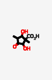 CC1C(=O)C(O)C(C)(C(=O)O)C1O